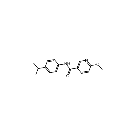 COc1ccc(C(=O)Nc2ccc(C(C)C)cc2)cn1